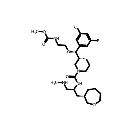 CNC[C@H](C[C@H]1CCCCOC1)NC(=O)N1CCC[C@@H]([C@@H](OCCNC(=O)OC)c2cc(F)cc(Cl)c2)C1